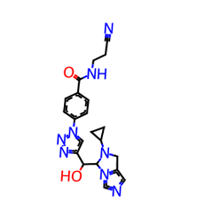 N#CCCNC(=O)c1ccc(-n2cc(C(O)C3N(C4CC4)Cc4cncn43)nn2)cc1